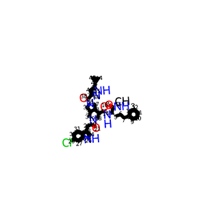 CNC(=O)[C@H](CCCc1ccccc1)NC(=O)C1CN(C(=O)Cc2c[nH]c3cc(Cl)ccc23)CC2CN(C(=O)c3cc(C4CC4)[nH]n3)CC21